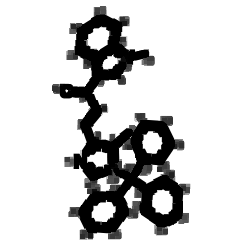 Cc1c(/C=C/C(=O)c2cn(C)c3ccccc23)ncn1C(c1ccccc1)(c1ccccc1)c1ccccc1